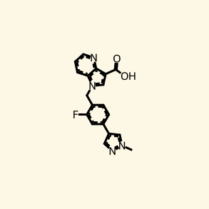 Cn1cc(-c2ccc(Cn3cc(C(=O)O)c4ncccc43)c(F)c2)cn1